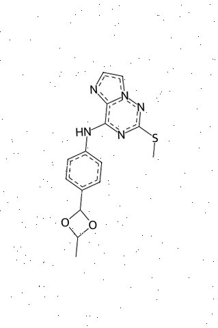 CSc1nc(Nc2ccc(C3OC(C)O3)cc2)c2nccn2n1